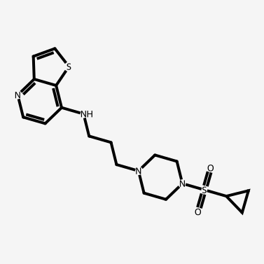 O=S(=O)(C1CC1)N1CCN(CCCNc2ccnc3ccsc23)CC1